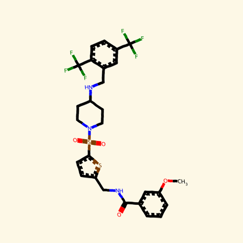 COc1cccc(C(=O)NCc2ccc(S(=O)(=O)N3CCC(NCc4cc(C(F)(F)F)ccc4C(F)(F)F)CC3)s2)c1